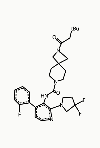 CC(C)(C)CC(=O)N1CC2(CCN(C(=O)Nc3c(-c4ccccc4F)ccnc3N3CCC(F)(F)C3)CC2)C1